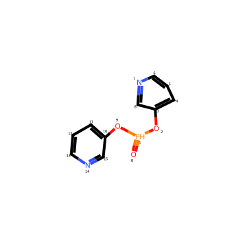 O=[PH](Oc1cccnc1)Oc1cccnc1